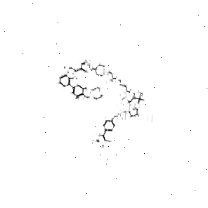 Cc1ncsc1-c1ccc(CNC(=O)[C@@H]2C[C@@H](O)CN2C(=O)[C@@H](NC(=O)CCNC(=O)CN2CCC(n3cc(-c4cnc5cccc(-c6cc(F)c(CN7CCOCC7)c(F)c6)c5n4)cn3)CC2)C(C)(C)C)cc1